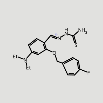 CCN(CC)c1ccc(/C=N/NC(N)=S)c(OCc2ccc(F)cc2)c1